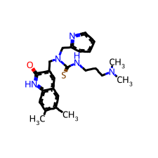 Cc1cc2cc(CN(Cc3ccccn3)C(=S)NCCCN(C)C)c(=O)[nH]c2cc1C